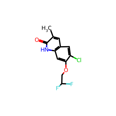 Cc1cc2cc(Cl)c(OCC(F)F)cc2[nH]c1=O